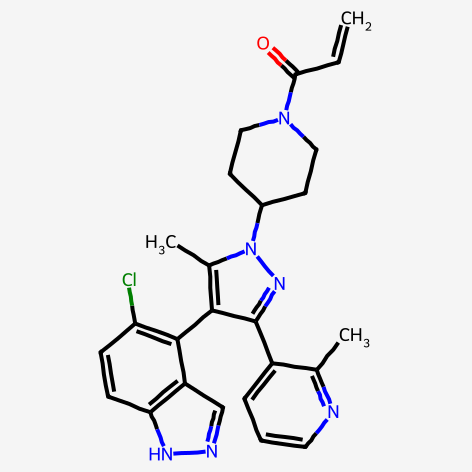 C=CC(=O)N1CCC(n2nc(-c3cccnc3C)c(-c3c(Cl)ccc4[nH]ncc34)c2C)CC1